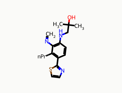 C=Nc1c(NCC(C)(C)O)ccc(-c2nccs2)c1CCC